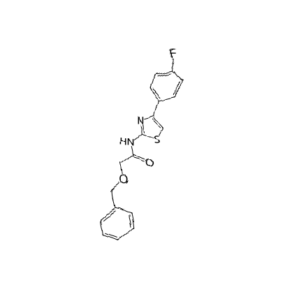 O=C(COCc1ccccc1)Nc1nc(-c2ccc(F)cc2)cs1